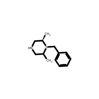 CC1CNC[C@@H](C)N1Cc1ccccc1